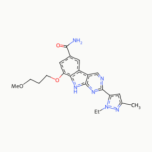 CCn1nc(C)cc1-c1ncc2c(n1)[nH]c1c(OCCCOC)cc(C(N)=O)cc12